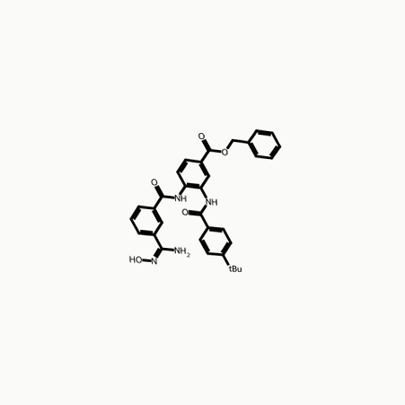 CC(C)(C)c1ccc(C(=O)Nc2cc(C(=O)OCc3ccccc3)ccc2NC(=O)c2cccc(/C(N)=N\O)c2)cc1